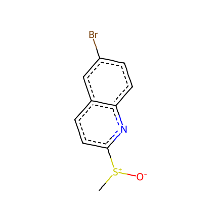 C[S+]([O-])c1ccc2cc(Br)ccc2n1